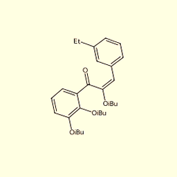 CCc1cccc(C=C(OCC(C)C)C(=O)c2cccc(OCC(C)C)c2OCC(C)C)c1